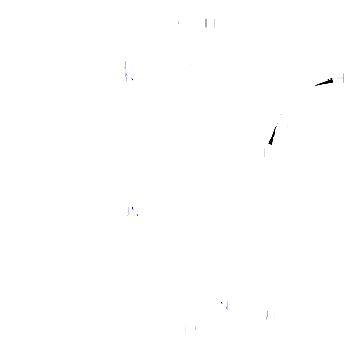 CN(C)CCCNC(=O)c1ccccc1S(=O)(=O)Nc1ccc2c(c1C(=O)O)OC[C@@H]1C[C@H]21